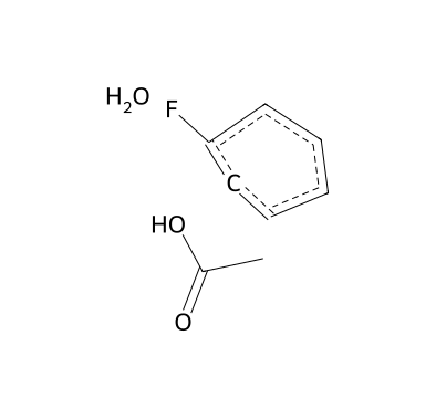 CC(=O)O.Fc1ccccc1.O